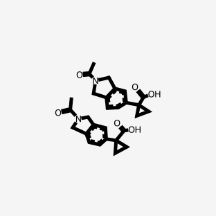 CC(=O)N1Cc2ccc(C3(C(=O)O)CC3)cc2C1.CC(=O)N1Cc2ccc(C3(C(=O)O)CC3)cc2C1